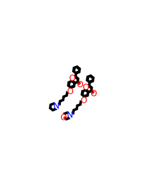 O=c1cc(-c2ccccc2)oc2ccc(OCCCCCCN3CCCCC3)cc12.O=c1cc(-c2ccccc2)oc2ccc(OCCCCCCN3CCOCC3)cc12